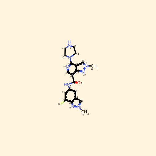 Cn1cc2cc(NC(=O)c3cnc(N4CCNCC4)c4cn(C)nc34)cc(F)c2n1